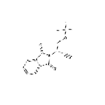 C#C[C@@H](COC(C)(C)C)N1C(=O)c2ccccc2C1=O